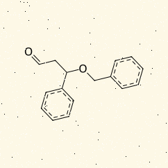 O=CCC(OCc1ccccc1)c1ccccc1